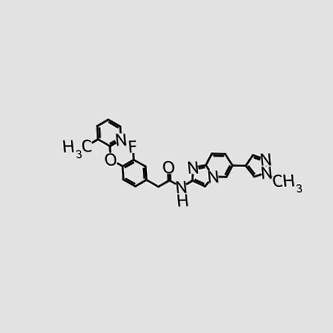 Cc1cccnc1Oc1ccc(CC(=O)Nc2cn3cc(-c4cnn(C)c4)ccc3n2)cc1F